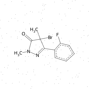 CN1N=C(c2ccccc2F)C(C)(Br)C1=O